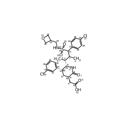 CC(C(C)[C@@H]1NC(=O)[C@@H](CC(=O)O)C[C@@H]1c1cccc(Cl)c1)C(c1ccc(Cl)cc1)S(=O)(=O)NCC1COC1